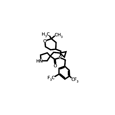 CC1(C)CC(CN(Cc2cc(C(F)(F)F)cc(C(F)(F)F)c2)C(=O)C2(CC3CC3)CCNC2)CCO1